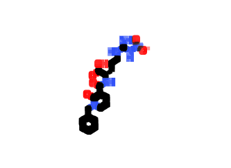 N=C(NCCC[C@H](NC(=O)c1cccn(Cc2ccccc2)c1=O)C(=O)O)N[N+](=O)[O-]